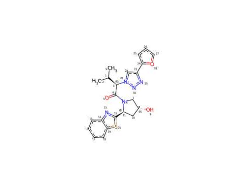 CC(C)[C@H](C(=O)N1C[C@H](O)C[C@H]1c1nc2ccccc2s1)n1cc(-c2ccco2)nn1